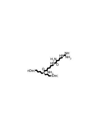 CCCCCCCCCCCCCCN(CCCCCCCCCCCCC)C(=O)C(N)CCCCNC(=O)C(N)CCCNC(=N)N